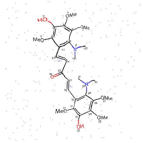 COc1c(O)c(OC)c(OC)c(N(C)C)c1/C=C/C(=O)/C=C/c1c(OC)c(O)c(OC)c(OC)c1N(C)C